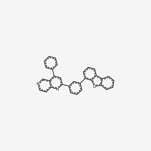 c1ccc(-c2cc(-c3cccc(-c4cccc5c4oc4ccccc45)c3)nc3ccncc23)cc1